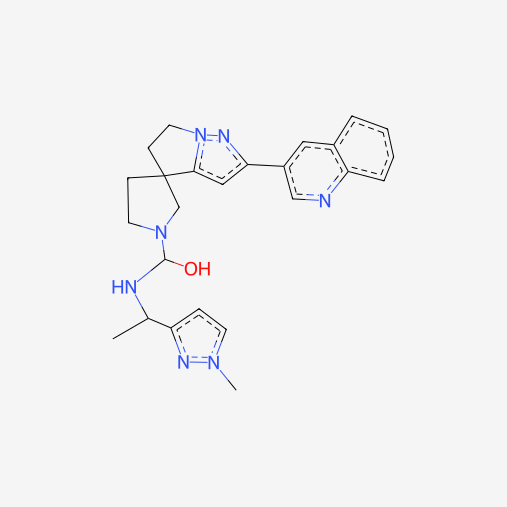 CC(NC(O)N1CCC2(CCn3nc(-c4cnc5ccccc5c4)cc32)C1)c1ccn(C)n1